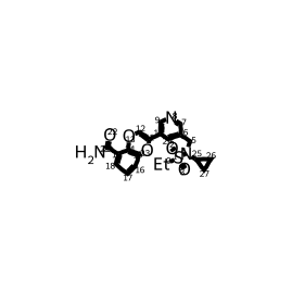 CCS(=O)(=O)N(Cc1cncc(C2=COc3c(cccc3C(N)=O)O2)c1)C1CC1